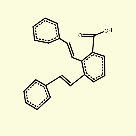 O=C(O)c1cccc(C=Cc2ccccc2)c1C=Cc1ccccc1